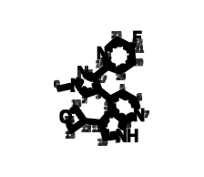 Cn1cc(-c2ccnc3[nH]cc(C4COC4)c23)c(-c2ccc(F)cn2)n1